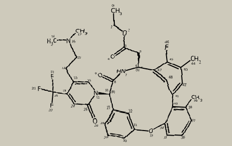 CCOC(=O)C[C@@H]1NC(=O)[C@H](n2cc(CCN(C)C)c(C(F)(F)F)cc2=O)c2cccc(c2)Oc2cccc(C)c2-c2cc(C)c(F)c1c2